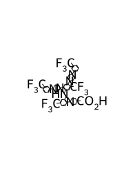 O=C(O)C1CCN(c2ccc(C(F)(F)F)cc2CNc2cc(C(F)(F)F)c(N3CCN(c4cccc(C(F)(F)F)c4)CC3)cc2N2CCN(c3cccc(C(F)(F)F)c3)CC2)CC1